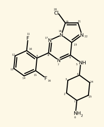 NC1CCC(Nc2nc(-c3c(F)cccc3F)nn3c(Cl)cnc23)CC1